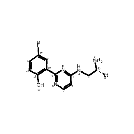 CC[C@@H](N)CNc1ccnc(-c2cc(F)ccc2O)n1